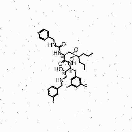 CCCC(CCC)S(=O)(=O)C[C@H](NC(=O)NCc1ccccc1)C(=O)N[C@@H](Cc1cc(F)cc(F)c1)[C@H](O)CNCc1cccc(C)c1